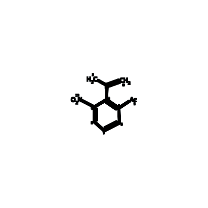 C=C(C)c1c(C(C)=O)cccc1[N+](=O)[O-]